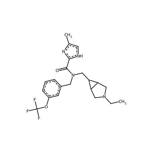 CCN1CC2C(C1)C2CN(Cc1cccc(OC(F)(F)F)c1)C(=O)c1nc(C)c[nH]1